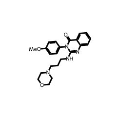 COc1ccc(-n2c(NCCCN3CCOCC3)nc3ccccc3c2=O)cc1